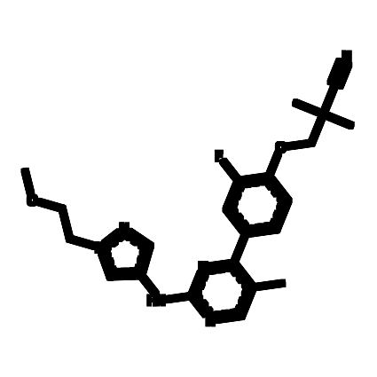 COCCn1cc(Nc2ncc(C)c(-c3ccc(OCC(C)(C)C#N)c(F)c3)n2)cn1